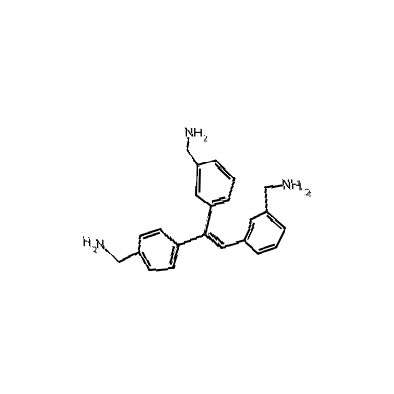 NCc1ccc(C(=Cc2cccc(CN)c2)c2cccc(CN)c2)cc1